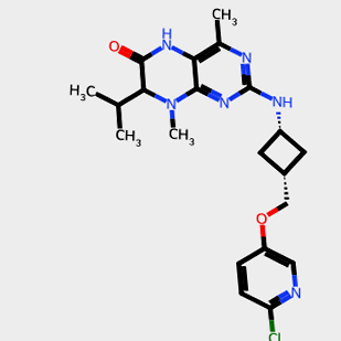 Cc1nc(N[C@H]2C[C@@H](COc3ccc(Cl)nc3)C2)nc2c1NC(=O)C(C(C)C)N2C